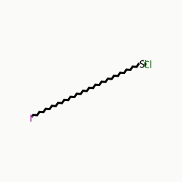 C[Si](C)(Cl)CCCCCCCCCCCCCCCCCCCCCCCCCCCCCCCCCCCI